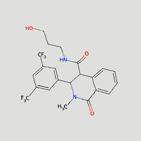 CN1C(=O)c2ccccc2C(C(=O)NCCCO)C1c1cc(C(F)(F)F)cc(C(F)(F)F)c1